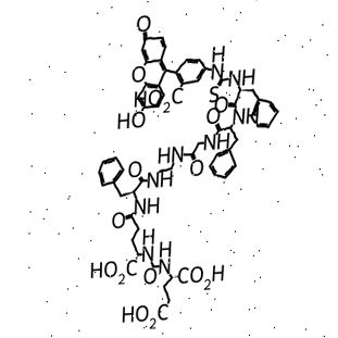 O=C(O)CC[C@H](NC(=O)N[C@@H](CCC(=O)N[C@@H](Cc1ccccc1)C(=O)NCCNC(=O)CNC(=O)C(Cc1ccccc1)NC(=O)[C@H](Cc1ccccc1)NC(=S)Nc1ccc(-c2c3ccc(=O)cc-3oc3cc(O)ccc23)c(C(=O)O)c1)C(=O)O)C(=O)O